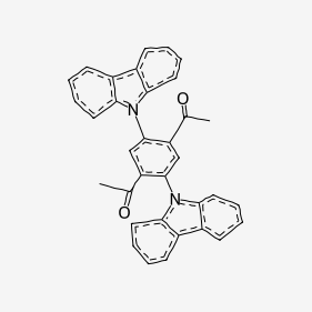 CC(=O)c1cc(-n2c3ccccc3c3ccccc32)c(C(C)=O)cc1-n1c2ccccc2c2ccccc21